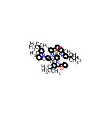 CC(C)(C)c1ccc2c(c1)C1(C)CCCCC1(C)N2c1ccc2c(c1)N(c1cccc3c1sc1ccccc13)c1cc(N3c4ccc(C(C)(C)C)cc4C4(C)CCCCC34C)cc3c1B2c1cc(C(C)(C)C)cc2c4oc5ccccc5c4n-3c12